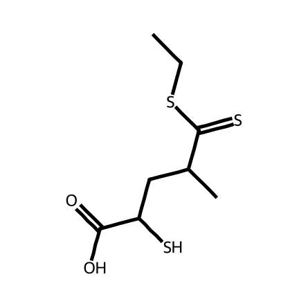 CCSC(=S)C(C)CC(S)C(=O)O